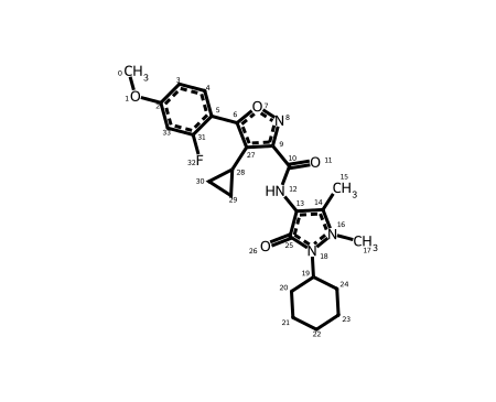 COc1ccc(-c2onc(C(=O)Nc3c(C)n(C)n(C4CCCCC4)c3=O)c2C2CC2)c(F)c1